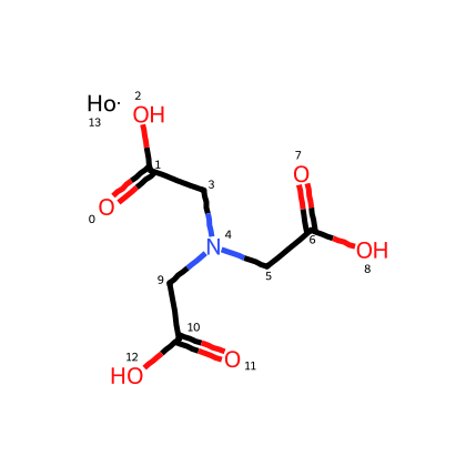 O=C(O)CN(CC(=O)O)CC(=O)O.[Ho]